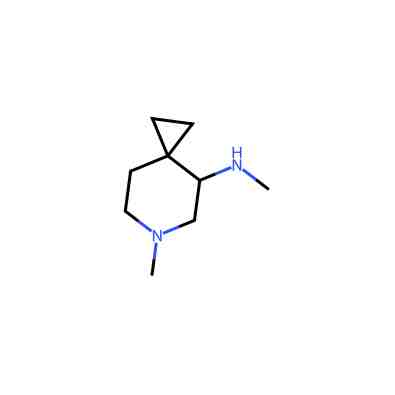 CNC1CN(C)CCC12CC2